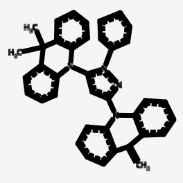 C=C1c2ccccc2N(c2cc(N3c4ccccc4C(C)(C)c4ccccc43)n(-c3ccccc3)n2)c2ccccc21